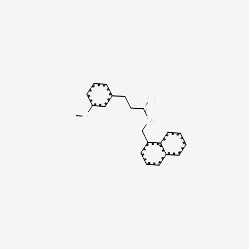 C[C@H](CCc1cccc(OC(F)(F)F)c1)N[C@@H](C)c1cccc2ccccc12